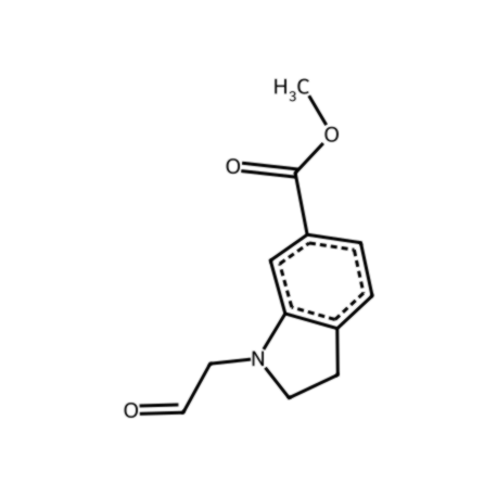 COC(=O)c1ccc2c(c1)N(CC=O)CC2